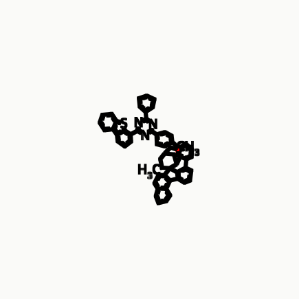 CC1CC2CC(C)C3(c4ccc5ccccc5c4-c4cccc(-c5cccc(-c6ccc(-c7nc(-c8ccccc8)nc(-c8cccc9c8sc8ccccc89)n7)cc6)c5)c43)C(C1)C2